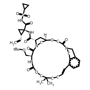 C=C[C@@H]1C[C@]1(NC(=O)[C@@H]1C[C@@H]2CN1C(=O)[C@H](COC(C)(C)C)NC(=O)OCC(C)(C)CC/C=C/c1cccc3c1CN(C3)C(=O)CO2)C(=O)NS(=O)(=O)C1CC1